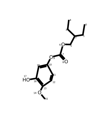 CCC(CC)COC(=O)Oc1ccc(OC)c(O)c1